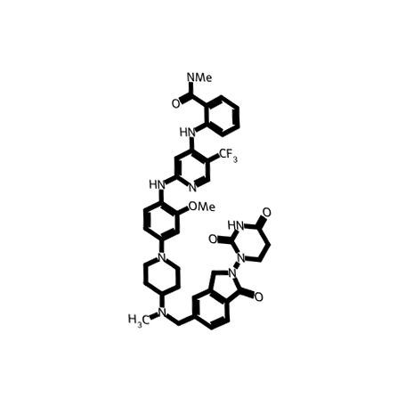 CNC(=O)c1ccccc1Nc1cc(Nc2ccc(N3CCC(N(C)Cc4ccc5c(c4)CN(N4CCC(=O)NC4=O)C5=O)CC3)cc2OC)ncc1C(F)(F)F